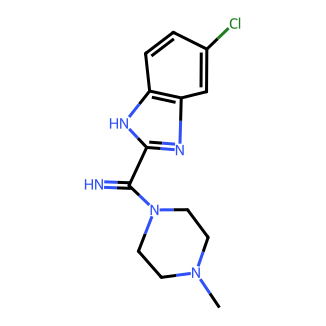 CN1CCN(C(=N)c2nc3cc(Cl)ccc3[nH]2)CC1